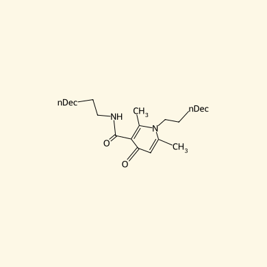 CCCCCCCCCCCCNC(=O)c1c(C)n(CCCCCCCCCCCC)c(C)cc1=O